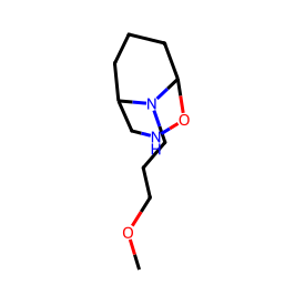 COCCCN1C2CCCC1ONC2